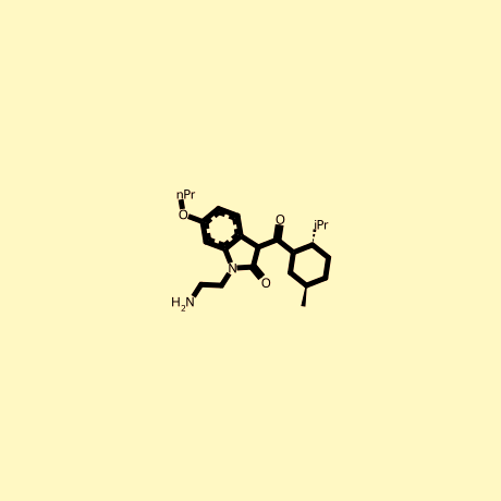 CCCOc1ccc2c(c1)N(CCN)C(=O)C2C(=O)C1C[C@H](C)CC[C@H]1C(C)C